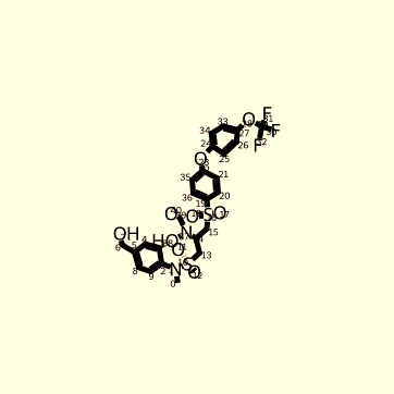 CN(c1ccc(CO)cc1)S(=O)(=O)CC(CS(=O)(=O)c1ccc(Oc2ccc(OC(F)(F)F)cc2)cc1)N(O)C=O